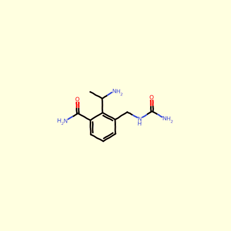 CC(N)c1c(CNC(N)=O)cccc1C(N)=O